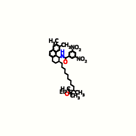 CCO[Si](C)(C)C(C)CCCCCCCCC[C@H]1CCc2ccc3cc(C)c(C)cc3c2[C@H]1NC(=O)c1cc([N+](=O)[O-])cc([N+](=O)[O-])c1